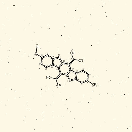 N#CC(C#N)=c1c2oc3cc(C(F)(F)F)ccc3c2c(=C(C#N)C#N)c2oc3cc(OC(F)(F)F)ccc3c12